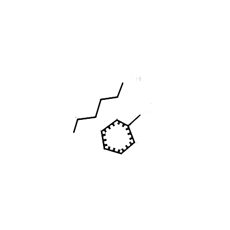 O=C(O)CCCCC(=O)O.O=C([O-])c1ccccc1.[K+]